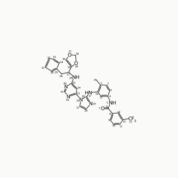 Cc1ccc(NC(=O)c2cccc(C(F)(F)F)c2)cc1Nc1nccn1-c1cc(NC(Cc2ccccc2)C2=COCO2)ncn1